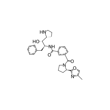 Cc1coc([C@H]2CCCN2C(=O)c2cccc(C(=O)N[C@@H](Cc3ccccc3)[C@H](O)[C@H]3CCCN3)c2)n1